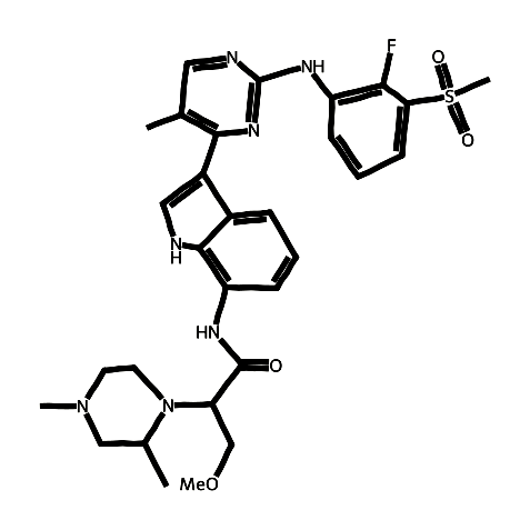 COCC(C(=O)Nc1cccc2c(-c3nc(Nc4cccc(S(C)(=O)=O)c4F)ncc3C)c[nH]c12)N1CCN(C)CC1C